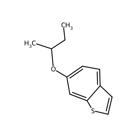 CCC(C)Oc1ccc2ccsc2c1